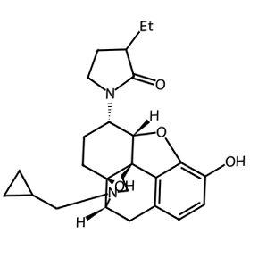 CCC1CCN([C@H]2CC[C@@]3(O)[C@H]4Cc5ccc(O)c6c5[C@@]3(CCN4CC3CC3)[C@H]2O6)C1=O